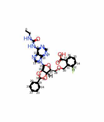 CCNC(=O)Nc1ncnc2c1ncn2C1=C2OC(c3ccccc3)O[C@@H]2[C@H](COCc2c(F)cccc2C(=O)O)O1